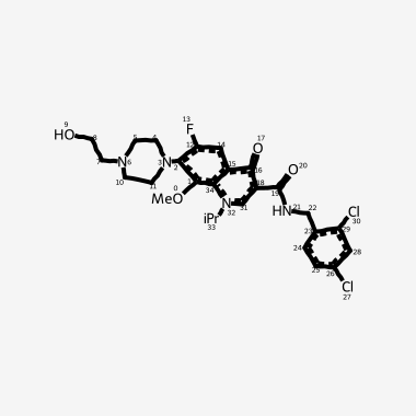 COc1c(N2CCN(CCO)CC2)c(F)cc2c(=O)c(C(=O)NCc3ccc(Cl)cc3Cl)cn(C(C)C)c12